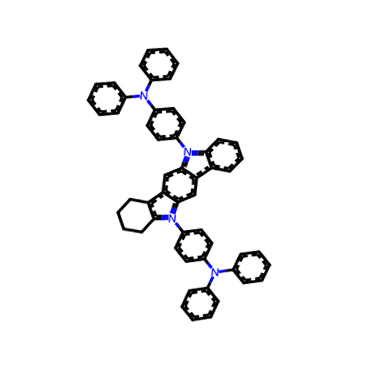 c1ccc(N(c2ccccc2)c2ccc(-n3c4c(c5cc6c(cc53)c3ccccc3n6-c3ccc(N(c5ccccc5)c5ccccc5)cc3)CCCC4)cc2)cc1